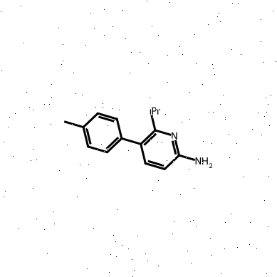 Cc1ccc(-c2ccc(N)nc2C(C)C)cc1